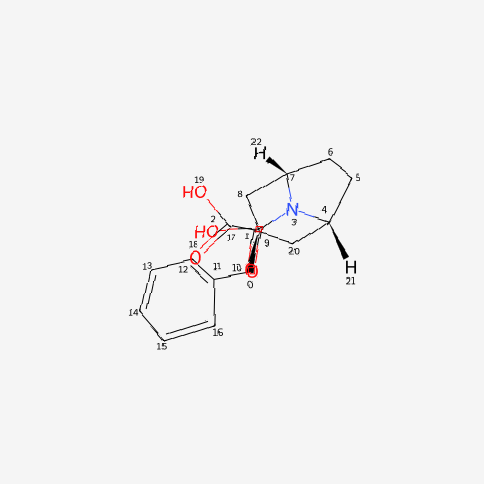 O=C(O)N1[C@@H]2CC[C@H]1C[C@@](Cc1ccccc1)(C(=O)O)C2